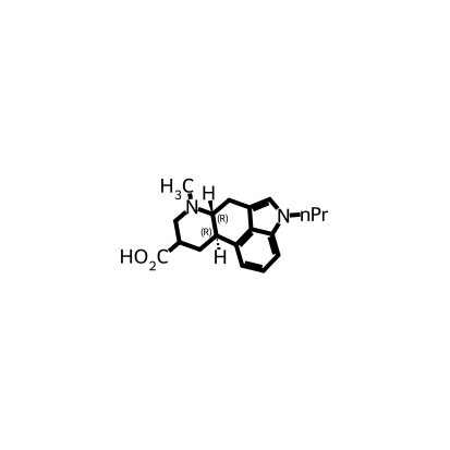 CCCn1cc2c3c(cccc31)[C@H]1CC(C(=O)O)CN(C)[C@@H]1C2